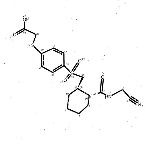 N#CCNC(=O)[C@@H]1CCCC[C@H]1CS(=O)(=O)c1ccc(SCC(=O)O)cc1